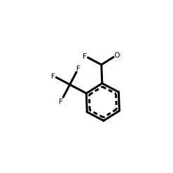 [O]C(F)c1ccccc1C(F)(F)F